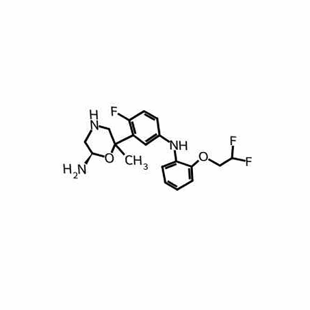 CC1(c2cc(Nc3ccccc3OCC(F)F)ccc2F)CNC[C@H](N)O1